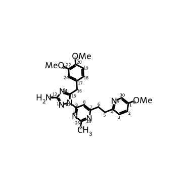 COc1ccc(CCc2cc(-n3nc(N)nc3Cc3ccc(OC)c(OC)c3)nc(C)n2)nc1